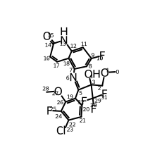 COCC(O)(C(=Nc1cc(F)cc2[nH]c(=O)ccc12)c1ccc(Cl)c(F)c1OC)C(F)(F)F